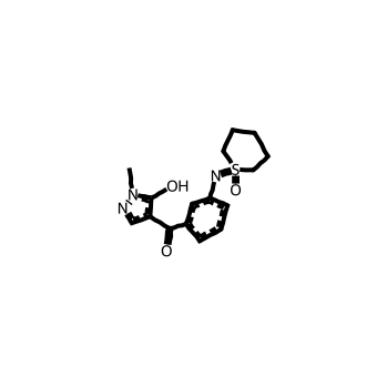 Cn1ncc(C(=O)c2cccc(N=S3(=O)CCCCC3)c2)c1O